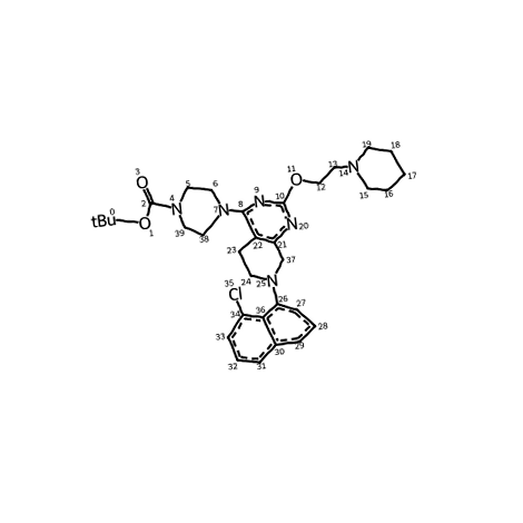 CC(C)(C)OC(=O)N1CCN(c2nc(OCCN3CCCCC3)nc3c2CCN(c2cccc4cccc(Cl)c24)C3)CC1